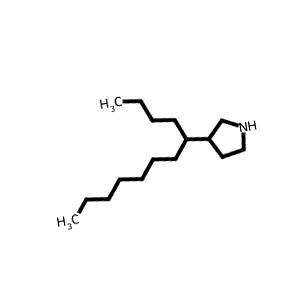 CCCCCCCC(CCCC)C1CCNC1